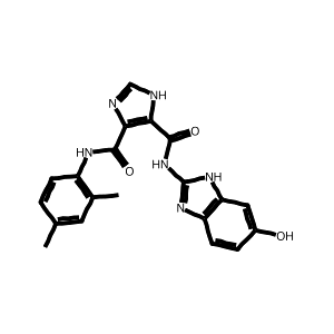 Cc1ccc(NC(=O)c2nc[nH]c2C(=O)Nc2nc3ccc(O)cc3[nH]2)c(C)c1